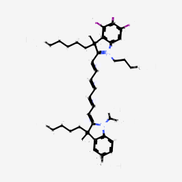 CCCCC(N1\C(=C/C=C/C=C/C=C/C2=[N+](CCCS(=O)(=O)O)c3cc(I)c(I)c(I)c3C2(C)CCCCCC(=O)O)C(C)(CCCCS(=O)(=O)O)c2cc(S(=O)(=O)O)ccc21)S(=O)(=O)O